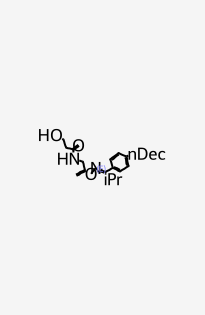 C=C(CNC(=O)CCO)O/N=C(/c1ccc(CCCCCCCCCC)cc1)C(C)C